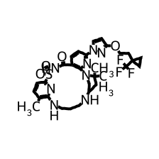 Cc1ccc2nc1NCCCNC1CN(c3nc(-n4ccc(OCCC5(C(F)(F)F)CC5)n4)ccc3C(=O)NS2(=O)=O)C(C)(C)C1